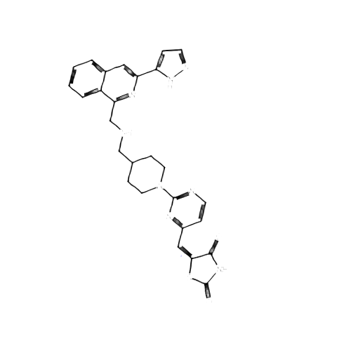 O=C1NC(=O)/C(=C\c2ccnc(N3CCC(CNCc4nc(-c5ccn[nH]5)cc5ccccc45)CC3)n2)S1